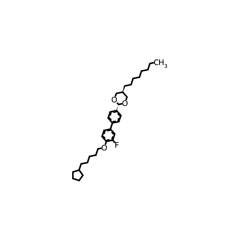 CCCCCCCC[C@H]1CO[C@H](c2ccc(-c3ccc(OCCCCCC4CCCC4)c(F)c3)cc2)OC1